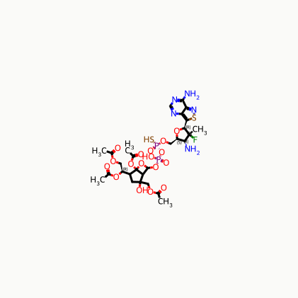 CC(=O)OC[C@H](OC(C)=O)C1CC(O)(COC(C)=O)C2C(OP(=O)(O)OP(=O)(S)OC[C@H]3O[C@@H](c4snc5c(N)ncnc45)[C@](C)(F)[C@@H]3N)OC12OC(C)=O